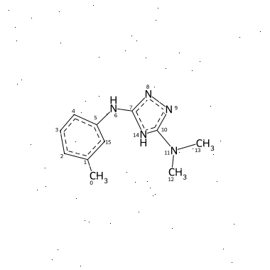 Cc1cccc(Nc2nnc(N(C)C)[nH]2)c1